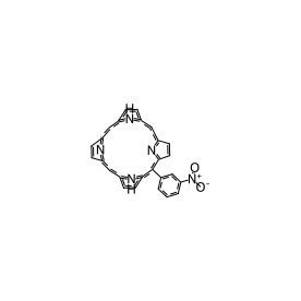 O=[N+]([O-])c1cccc(-c2c3nc(cc4ccc(cc5nc(cc6ccc2[nH]6)C=C5)[nH]4)C=C3)c1